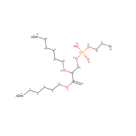 C=C(OCCCCCCCCCCCCCCC)C(COP(=O)(O)OCCBr)OCCCCCCCCCCCCCCC